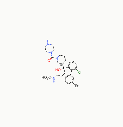 CCc1cccc(-c2c(Cl)cccc2C(O)(CCCNC(=O)O)[C@@H]2CCCN(C(=O)N3CCNCC3)C2)c1